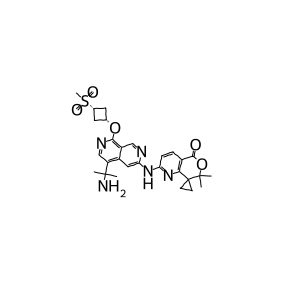 CC(C)(N)c1cnc(O[C@H]2C[C@@H](S(C)(=O)=O)C2)c2cnc(Nc3ccc4c(n3)C3(CC3)C(C)(C)OC4=O)cc12